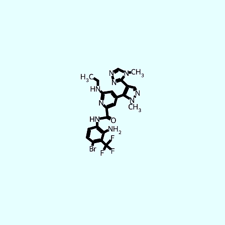 CCNc1cc(-c2c(-c3nncn3C)cnn2C)cc(C(=O)Nc2ccc(Br)c(C(F)(F)F)c2N)n1